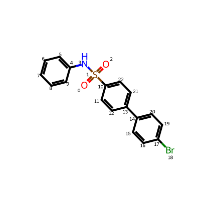 O=S(=O)(Nc1ccccc1)c1ccc(-c2ccc(Br)cc2)cc1